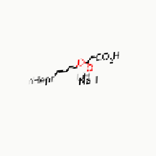 CCCCCCCCCCCOC(=O)CC(=O)O.[LiH].[NaH]